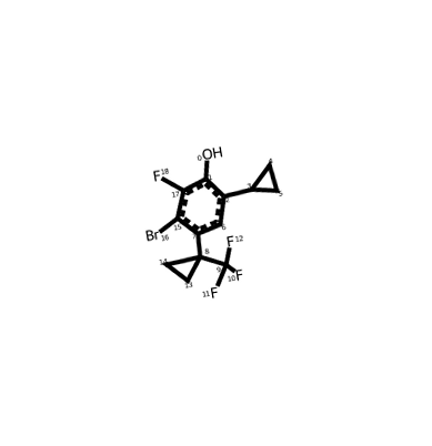 Oc1c(C2CC2)cc(C2(C(F)(F)F)CC2)c(Br)c1F